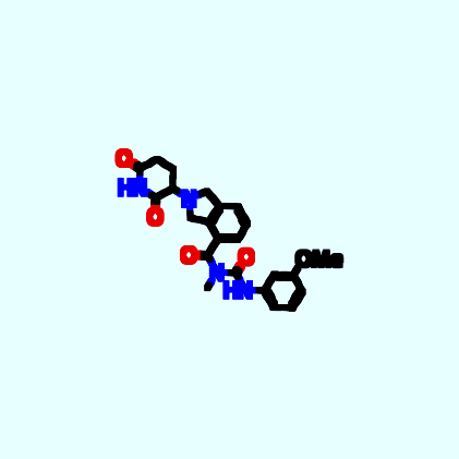 COc1cccc(NC(=O)N(C)C(=O)c2cccc3c2CN(C2CCC(=O)NC2=O)C3)c1